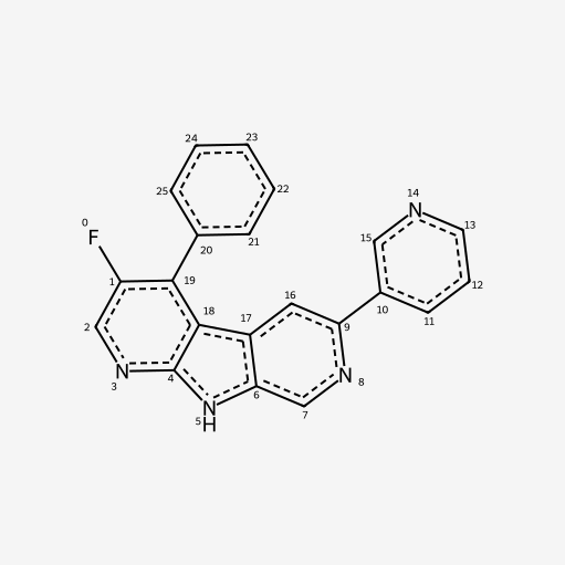 Fc1cnc2[nH]c3cnc(-c4cccnc4)cc3c2c1-c1ccccc1